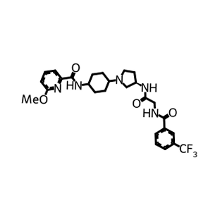 COc1cccc(C(=O)NC2CCC(N3CC[C@@H](NC(=O)CNC(=O)c4cccc(C(F)(F)F)c4)C3)CC2)n1